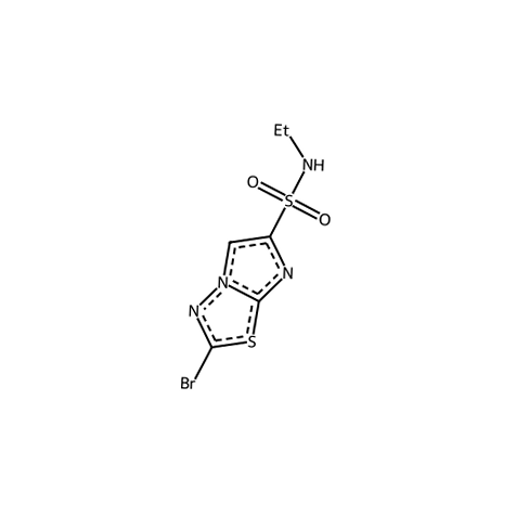 CCNS(=O)(=O)c1cn2nc(Br)sc2n1